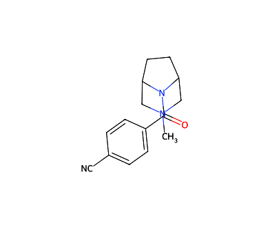 CN1CC2CCC(C1)N2C(=O)c1ccc(C#N)cc1